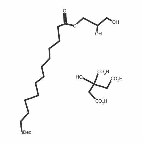 CCCCCCCCCCCCCCCCCCCCCC(=O)OCC(O)CO.O=C(O)CC(O)(CC(=O)O)C(=O)O